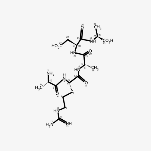 C[C@H](N)C(=O)N[C@@H](CCCNC(=N)N)C(=O)N[C@@H](C)C(=O)N[C@@H](CC(=O)O)C(=O)N[C@@H](C)C(=O)O